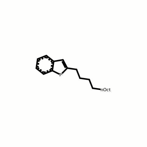 CCCCCCCCCCCCC1=Cc2ccccc2[P]1